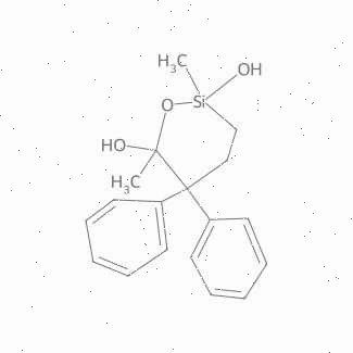 CC1(O)O[Si](C)(O)CCC1(c1ccccc1)c1ccccc1